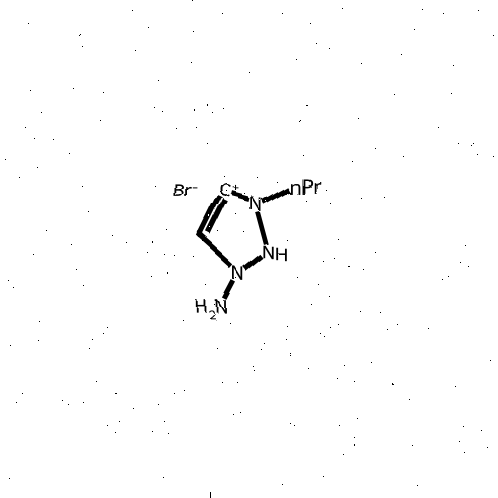 CCCN1[C+]=CN(N)N1.[Br-]